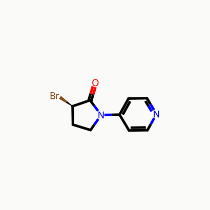 O=C1[C@H](Br)CCN1c1ccncc1